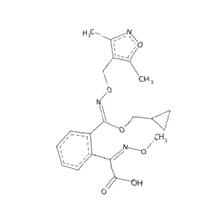 CON=C(C(=O)O)c1ccccc1C(=NOCc1c(C)noc1C)OCC1CC1